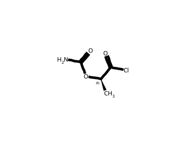 C[C@@H](OC(N)=O)C(=O)Cl